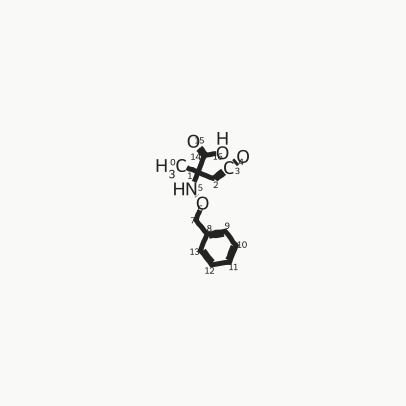 CC(C=C=O)(NOCc1ccccc1)C(=O)O